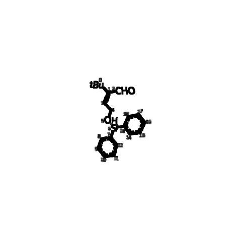 CC(C)(C)/C(C=O)=C/CO[SiH](c1ccccc1)c1ccccc1